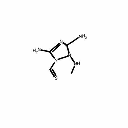 CNN1C(N)N=C(N)N1C=S